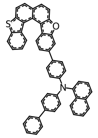 c1ccc(-c2ccc(N(c3ccc(-c4ccc5c(c4)oc4ccc6ccc7sc8ccccc8c7c6c45)cc3)c3cccc4ccccc34)cc2)cc1